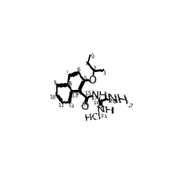 CCC(C)Oc1ccc2ccccc2c1C(=O)NC(=N)N.Cl